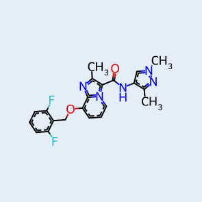 Cc1nn(C)cc1NC(=O)c1c(C)nc2c(OCc3c(F)cccc3F)cccn12